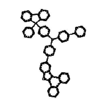 c1ccc(-c2ccc(N(c3ccc(-c4ccc5oc6c7ccccc7c7ccccc7c6c5c4)cc3)c3ccc(C4(c5ccccc5)c5ccccc5-c5ccccc54)cc3)cc2)cc1